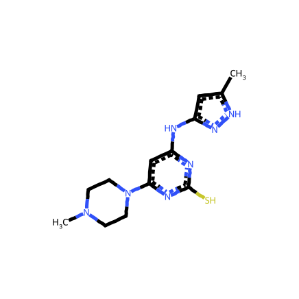 Cc1cc(Nc2cc(N3CCN(C)CC3)nc(S)n2)n[nH]1